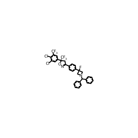 FC(F)(F)c1cc([C@@]2(C(F)(F)F)CC(c3ccc(C4(F)CN(C(c5ccccc5)c5ccccc5)C4)cc3)=NO2)cc(Cl)c1Cl